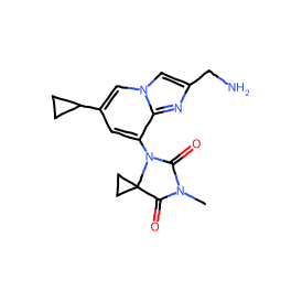 CN1C(=O)N(c2cc(C3CC3)cn3cc(CN)nc23)C2(CC2)C1=O